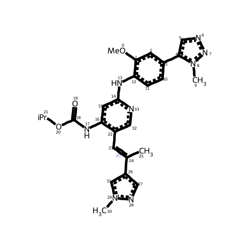 COc1cc(-c2cnnn2C)ccc1Nc1cc(NC(=O)OC(C)C)c(/C=C(\C)c2cnn(C)c2)cn1